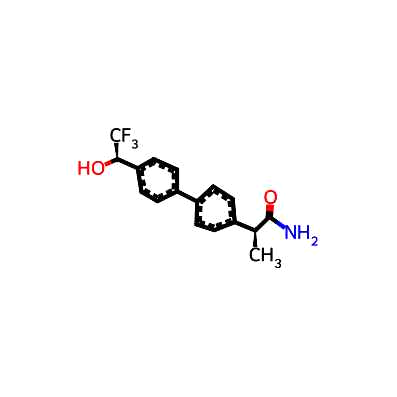 C[C@H](C(N)=O)c1ccc(-c2ccc([C@@H](O)C(F)(F)F)cc2)cc1